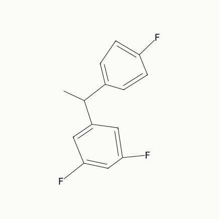 CC(c1ccc(F)cc1)c1cc(F)cc(F)c1